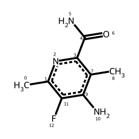 Cc1nc(C(N)=O)c(C)c(N)c1F